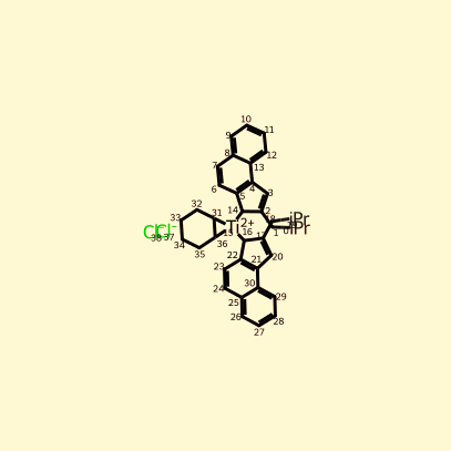 CC(C)CC1=Cc2c(ccc3ccccc23)[CH]1[Ti+2]1([CH]2C(CC(C)C)=Cc3c2ccc2ccccc32)[CH]2CCCC[CH]21.[Cl-].[Cl-]